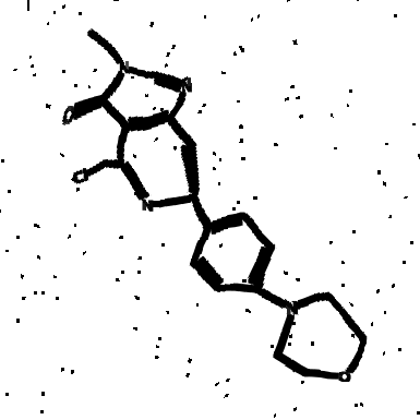 Cn1cnc2cc(-c3ccc(N4CCOCC4)cc3)nc(Cl)c2c1=O